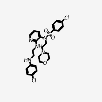 O=S(=O)(c1ccc(Cl)cc1)N(CCN1CCOCC1)c1cccnc1NCCNc1ccc(Cl)cc1